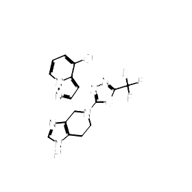 FC(F)(F)c1nnc(N2CCc3[nH]cnc3[C@@H]2c2cc3c(Cl)cccn3n2)o1